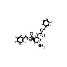 B[C@@H]1O[C@@]2(CC(=O)OCc3ccccc3)ON(C)C1C2C(=O)OCc1ccccc1